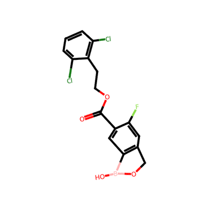 O=C(OCCc1c(Cl)cccc1Cl)c1cc2c(cc1F)COB2O